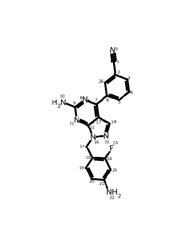 N#Cc1cccc(-c2nc(N)nc3c2cnn3Cc2ccc(N)cc2F)c1